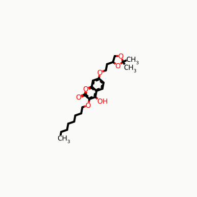 CCCCCCCCOc1c(O)c2ccc(OCCC3COC(C)(C)O3)cc2oc1=O